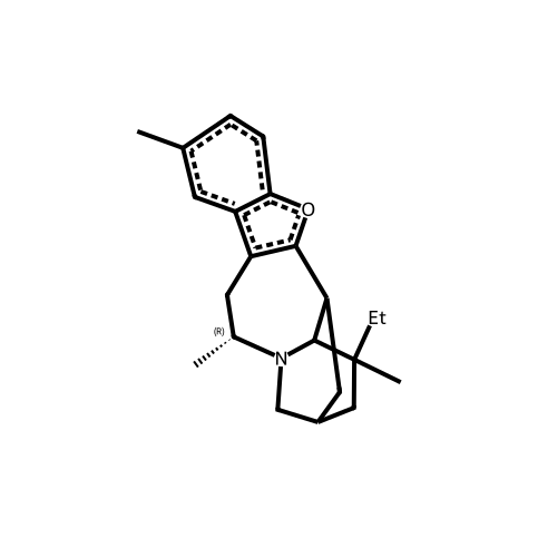 CCC1(C)CC2CC3c4oc5ccc(C)cc5c4C[C@@H](C)N(C2)C31